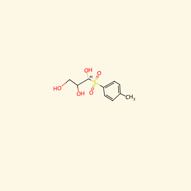 Cc1ccc(S(=O)(=O)[C@@H](O)C(O)CO)cc1